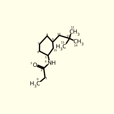 CCC(=O)NC1CCCC(CC(C)(C)C)C1